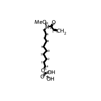 C=CC(=O)N(CCCCCCCCCCOP(=O)(O)O)OC